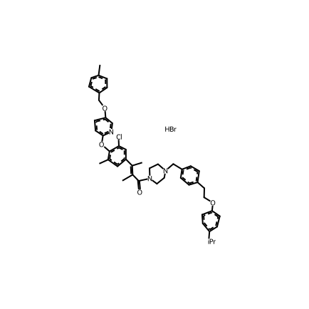 Br.CC(C(=O)N1CCN(Cc2ccc(CCOc3ccc(C(C)C)cc3)cc2)CC1)=C(C)c1cc(C)c(Oc2ccc(OCc3ccc(C)cc3)cn2)c(Cl)c1